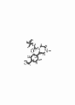 CC(C)(C)OC(=O)N1CCNCC1C1CCC(C=O)CC1